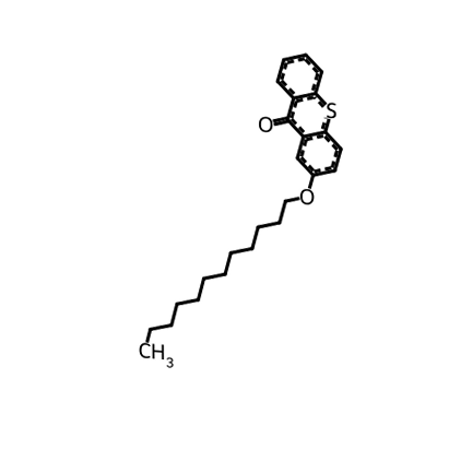 CCCCCCCCCCCCOc1ccc2sc3ccccc3c(=O)c2c1